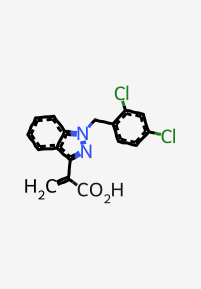 C=C(C(=O)O)c1nn(Cc2ccc(Cl)cc2Cl)c2ccccc12